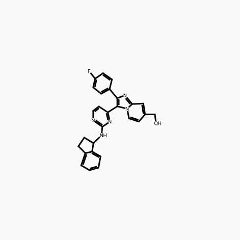 OCc1ccn2c(-c3ccnc(NC4CCc5ccccc54)n3)c(-c3ccc(F)cc3)nc2c1